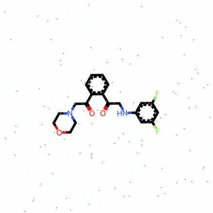 O=C(CNc1cc(F)cc(F)c1)c1ccccc1C(=O)CN1CCOCC1